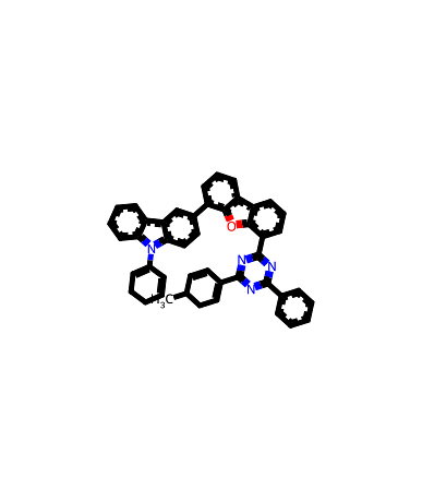 CC1C=CC(c2nc(-c3ccccc3)nc(-c3cccc4c3oc3c(-c5ccc6c(c5)c5ccccc5n6C5=CCCC=C5)cccc34)n2)=CC1